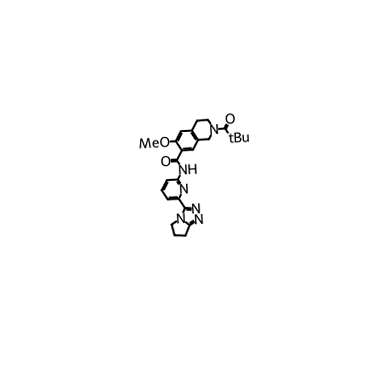 COc1cc2c(cc1C(=O)Nc1cccc(-c3nnc4n3CCC4)n1)CN(C(=O)C(C)(C)C)CC2